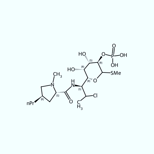 CCC[C@@H]1C[C@@H](C(=O)N[C@H](C(C)Cl)[C@H]2OC(SC)[C@H](OP(=O)(O)O)[C@@H](O)[C@H]2O)N(C)C1